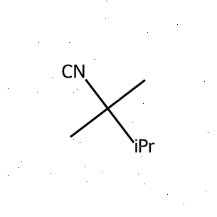 [C-]#[N+]C(C)(C)C(C)C